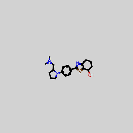 CN(C)CC1CCCN1c1ccc(-c2nc3c(s2)C(O)CCC3)cc1